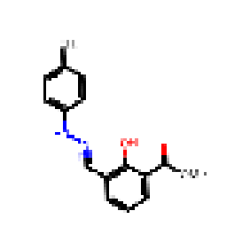 COC(=O)c1cccc(/C=N/Nc2ccc(C)cc2)c1O